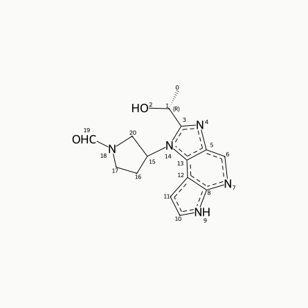 C[C@@H](O)c1nc2cnc3[nH]ccc3c2n1C1CCN(C=O)C1